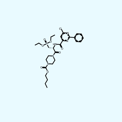 CCCCOC(=O)N1CCN(C(=O)[C@H](CP(=O)(OCC)OCC)NC(=O)c2cc(Cl)nc(-c3ccccc3)n2)CC1